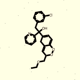 CCOCC1C=C2CC(C(O)(Cc3cccc(Cl)c3)c3ccccn3)=CC=C2OO1